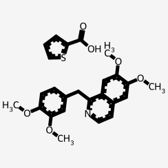 COc1ccc(Cc2nccc3cc(OC)c(OC)cc23)cc1OC.O=C(O)c1cccs1